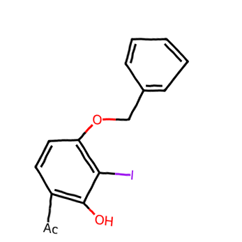 CC(=O)c1ccc(OCc2ccccc2)c(I)c1O